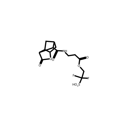 O=C(CCNC(=O)C1C2CC3OC(=O)C1C3C2)OCC(F)(F)S(=O)(=O)O